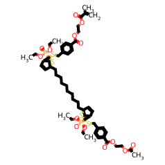 C=C(C)C(=O)OCCOC(=O)c1ccc(CSC2(P(=O)(OCC)OCC)SC3(CCCCCCCCCCC45C=CC(C4)C(SCc4ccc(C(=O)OCCOC(C)=O)cc4)(P(=O)(OCC)OCC)S5)C=CC2C3)cc1